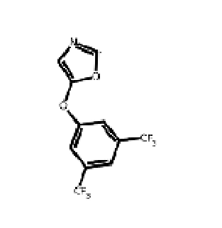 FC(F)(F)c1cc(Oc2cn[c]o2)cc(C(F)(F)F)c1